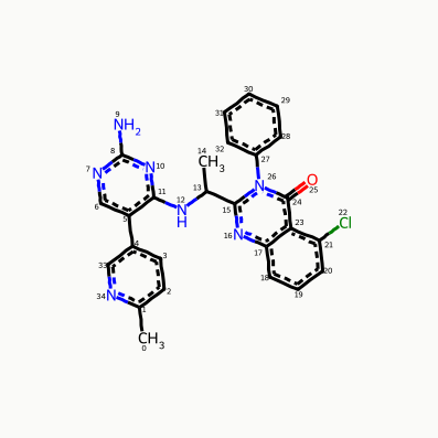 Cc1ccc(-c2cnc(N)nc2NC(C)c2nc3cccc(Cl)c3c(=O)n2-c2ccccc2)cn1